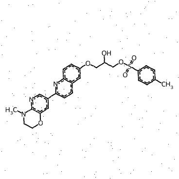 Cc1ccc(S(=O)(=O)OCC(O)COc2ccc3nc(-c4cnc5c(c4)OCCN5C)ccc3c2)cc1